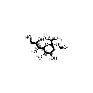 CC(C)[C@]1(OC=O)CC(O)[C@@H](C)C([C@H](O)C(O)CO)O1